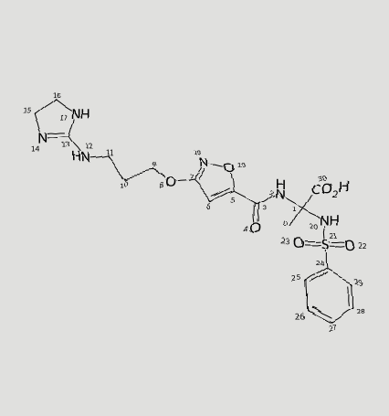 CC(NC(=O)c1cc(OCCCNC2=NCCN2)no1)(NS(=O)(=O)c1ccccc1)C(=O)O